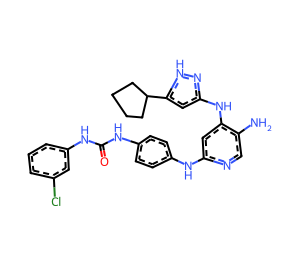 Nc1cnc(Nc2ccc(NC(=O)Nc3cccc(Cl)c3)cc2)cc1Nc1cc(C2CCCC2)[nH]n1